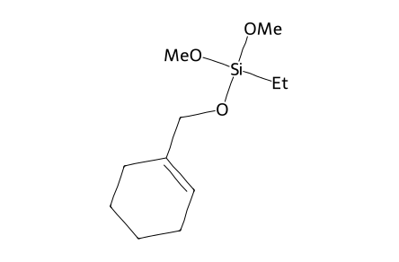 CC[Si](OC)(OC)OCC1=CCCCC1